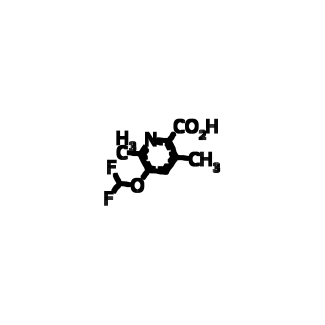 Cc1cc(OC(F)F)c(C)nc1C(=O)O